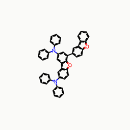 c1ccc(N(c2ccccc2)c2ccc3oc4c(-c5ccc6oc7ccccc7c6c5)cc(N(c5ccccc5)c5ccccc5)cc4c3c2)cc1